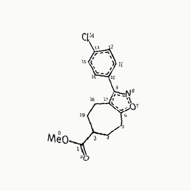 COC(=O)C1CCc2onc(-c3ccc(Cl)cc3)c2CC1